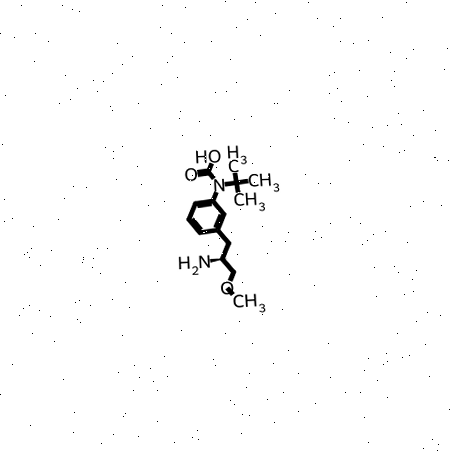 COC[C@@H](N)Cc1cccc(N(C(=O)O)C(C)(C)C)c1